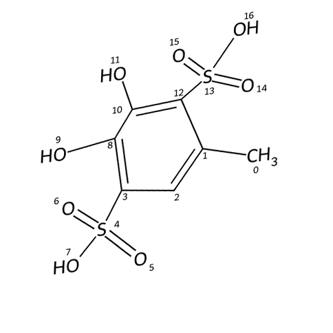 Cc1cc(S(=O)(=O)O)c(O)c(O)c1S(=O)(=O)O